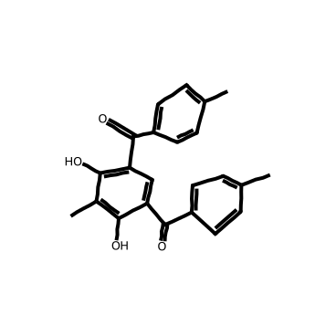 Cc1ccc(C(=O)c2cc(C(=O)c3ccc(C)cc3)c(O)c(C)c2O)cc1